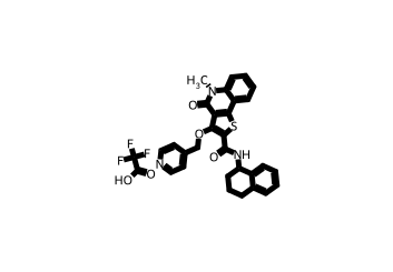 Cn1c(=O)c2c(OCc3ccncc3)c(C(=O)NC3CCCc4ccccc43)sc2c2ccccc21.O=C(O)C(F)(F)F